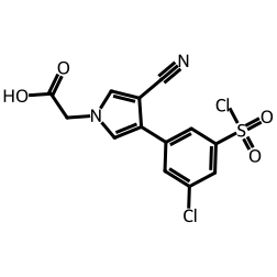 N#Cc1cn(CC(=O)O)cc1-c1cc(Cl)cc(S(=O)(=O)Cl)c1